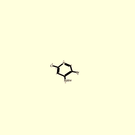 CNc1cc(Cl)ncc1Br